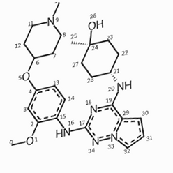 COc1cc(OC2CCN(C)CC2)ccc1Nc1nc(N[C@H]2CC[C@](C)(O)CC2)c2cccn2n1